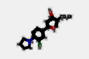 CCOC(=O)c1coc(-c2ccc(N3CCCC3)c(Cl)c2)cc1=O